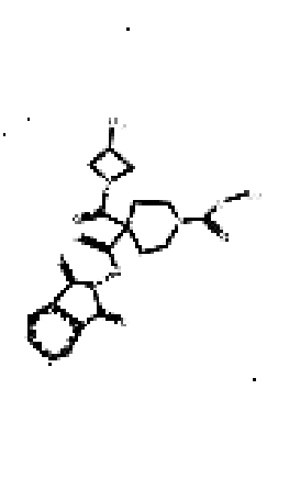 CC(C)(C)OC(=O)N1CCC(C(=O)ON2C(=O)c3ccccc3C2=O)(C(=O)N2CC(C(F)(F)F)C2)CC1